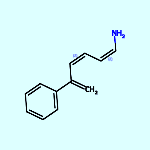 C=C(/C=C\C=C/N)c1ccccc1